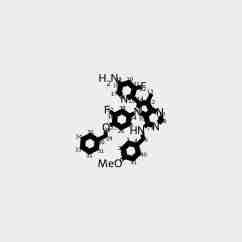 COc1ccc(CNc2ncnc3c(C)c(-c4ncc(N)cc4F)n(-c4ccc(OCc5ccccc5)c(F)c4)c23)cc1